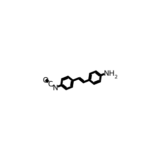 Nc1ccc(C=Cc2ccc(N=C=O)cc2)cc1